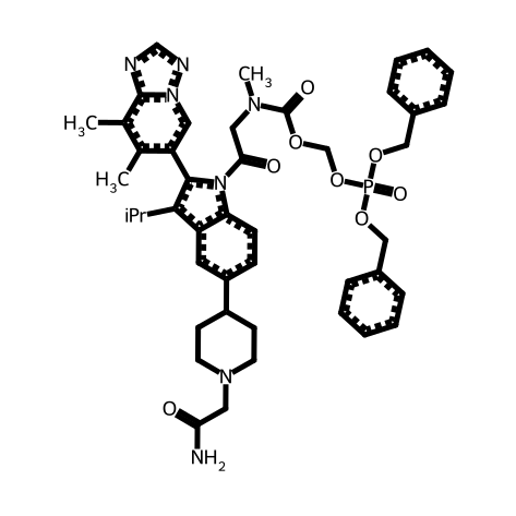 Cc1c(-c2c(C(C)C)c3cc(C4CCN(CC(N)=O)CC4)ccc3n2C(=O)CN(C)C(=O)OCOP(=O)(OCc2ccccc2)OCc2ccccc2)cn2ncnc2c1C